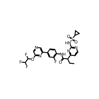 CCC(C(=O)Nc1ccc(-c2cncc(OC(F)C(F)F)n2)cc1F)c1ccnc(NS(=O)(=O)C2CC2)n1